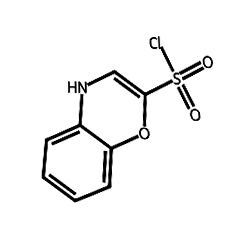 O=S(=O)(Cl)C1=CNc2ccccc2O1